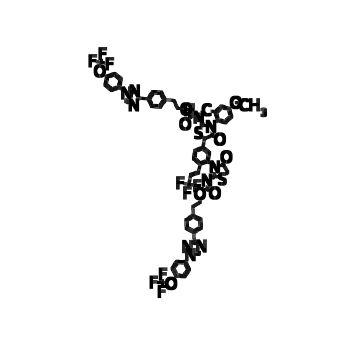 COc1ccc(N2C(=O)C(c3ccc(/C=C/C(F)(F)F)c(N4C(=O)CS/C4=N\C(=O)OCCc4ccc(-c5ncn(-c6ccc(OC(F)(F)F)cc6)n5)cc4)c3)S/C2=N\C(=O)OCCc2ccc(-c3ncn(-c4ccc(OC(F)(F)F)cc4)n3)cc2)c(C)c1